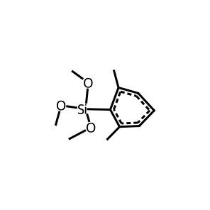 CO[Si](OC)(OC)c1c(C)cccc1C